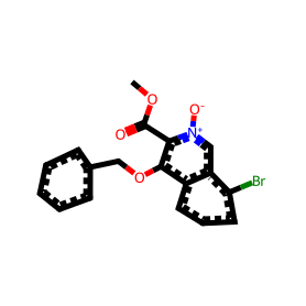 COC(=O)c1c(OCc2ccccc2)c2cccc(Br)c2c[n+]1[O-]